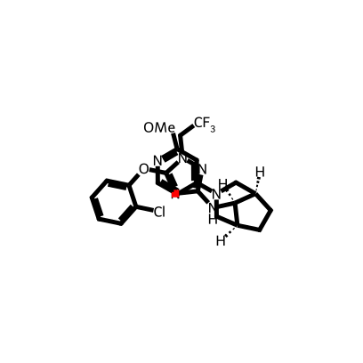 COc1cc(N2C[C@H]3CC[C@@H](C2)[C@H]3Nc2nc(Oc3ccccc3Cl)n(CC(F)(F)F)n2)ccn1